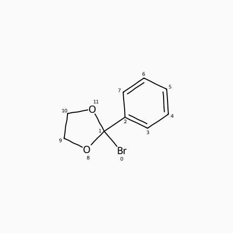 BrC1(c2ccccc2)OCCO1